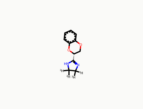 [2H]C1([2H])N=C([C@H]2COc3ccccc3O2)NC1([2H])[2H]